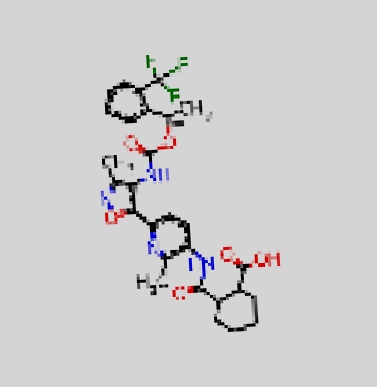 Cc1nc(-c2onc(C)c2NC(=O)O[C@H](C)c2ccccc2C(F)(F)F)ccc1NC(=O)C1CCCCC1C(=O)O